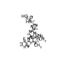 C[C@@H]1CC(C)(C)[C@@](C)(c2ccnc(-n3cnc(CNC(=O)CO)n3)n2)c2nnc(-c3c(F)cccc3F)cc21